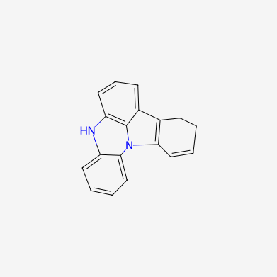 C1=Cc2c(c3cccc4c3n2-c2ccccc2N4)CC1